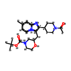 CC(=O)N1CCC(c2nc3cc(C)ccn3c2CC2CN(C(=O)OC(C)(C)C)CCO2)CC1